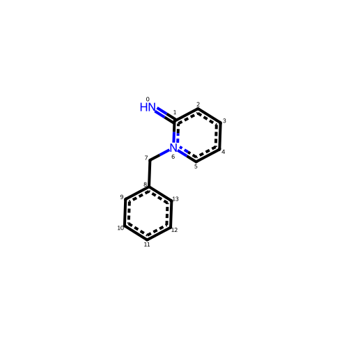 N=c1ccccn1Cc1ccccc1